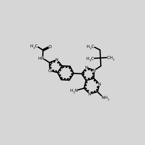 CCC(C)(C)Cn1nc(-c2ccc3oc(NC(C)=O)nc3c2)c2c(N)nc(N)nc21